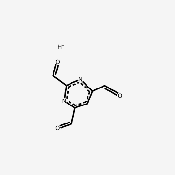 O=Cc1cc(C=O)nc(C=O)n1.[H+]